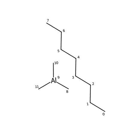 CCCCCCCC.[CH3][Al]([CH3])[CH3]